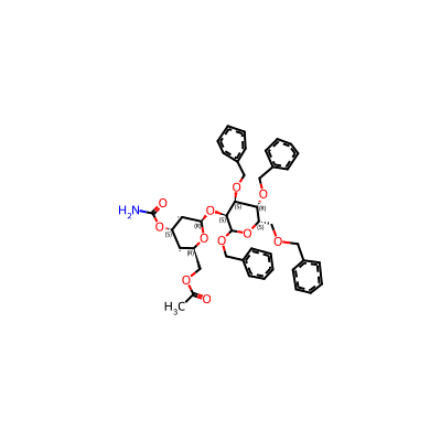 CC(=O)OC[C@H]1[CH][C@H](OC(N)=O)[CH][C@@H](O[C@@H]2C(OCc3ccccc3)O[C@@H](COCc3ccccc3)[C@@H](OCc3ccccc3)[C@@H]2OCc2ccccc2)O1